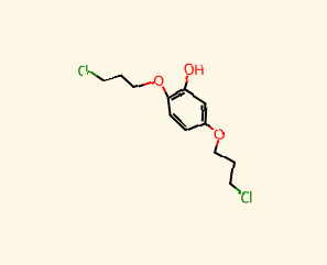 Oc1cc(OCCCCl)ccc1OCCCCl